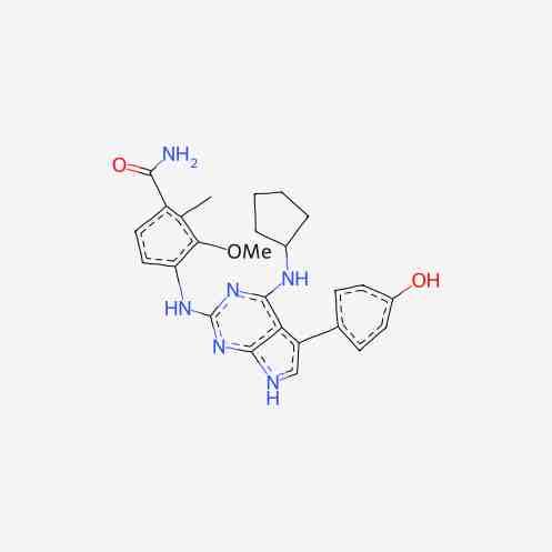 COc1c(Nc2nc(NC3CCCC3)c3c(-c4ccc(O)cc4)c[nH]c3n2)ccc(C(N)=O)c1C